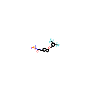 O=C(/C=C/c1ccc2c(c1)CCC2OCc1cc(C(F)(F)F)cc(C(F)(F)F)c1)NOPI